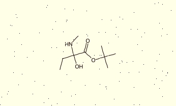 CCC(O)(NC)C(=O)OC(C)(C)C